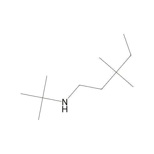 CCC(C)(C)CCNC(C)(C)C